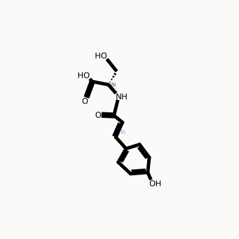 O=C(/C=C/c1ccc(O)cc1)N[C@@H](CO)C(=O)O